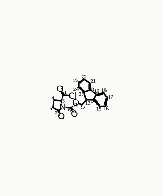 O=C(Cl)[C@@H]1CCC(=O)N1C(=O)OCC1c2ccccc2-c2ccccc21